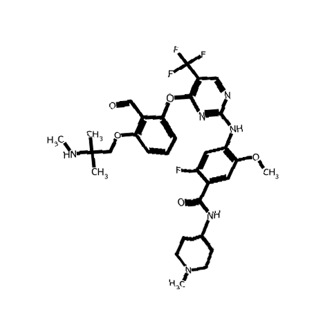 CNC(C)(C)COc1cccc(Oc2nc(Nc3cc(F)c(C(=O)NC4CCN(C)CC4)cc3OC)ncc2C(F)(F)F)c1C=O